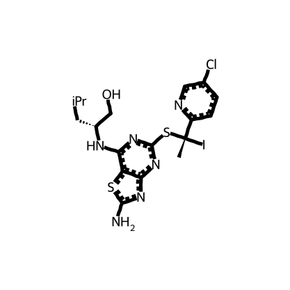 CC(C)C[C@H](CO)Nc1nc(S[C@@](C)(I)c2ccc(Cl)cn2)nc2nc(N)sc12